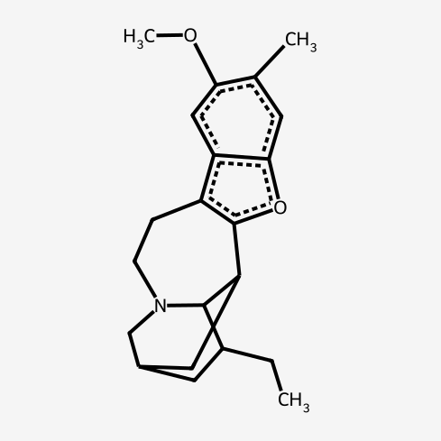 CCC1CC2CC3c4oc5cc(C)c(OC)cc5c4CCN(C2)C13